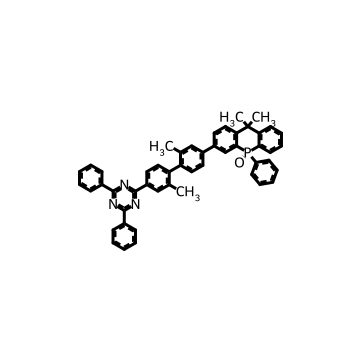 Cc1cc(-c2ccc3c(c2)P(=O)(c2ccccc2)c2ccccc2C3(C)C)ccc1-c1ccc(-c2nc(-c3ccccc3)nc(-c3ccccc3)n2)cc1C